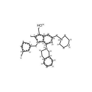 Cc1c(C)n(Cc2cccc(F)c2)c2c(N3CCc4ccccc4C3)nc(CN3CCOCC3)cc12.Cl